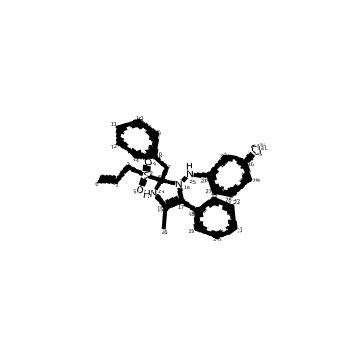 C=CCS(=O)(=O)C1(Cc2ccccc2)NC(C)=C(c2ccccc2)N1Nc1cccc(Cl)c1